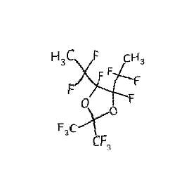 CC(F)(F)C1(F)OC(C(F)(F)F)(C(F)(F)F)OC1(F)C(C)(F)F